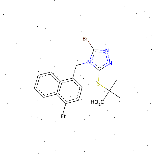 CCc1ccc(Cn2c(Br)nnc2SC(C)(C)C(=O)O)c2ccccc12